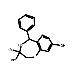 CCCC1(CCC)CSc2cc(O)ccc2C(c2ccccc2)N1